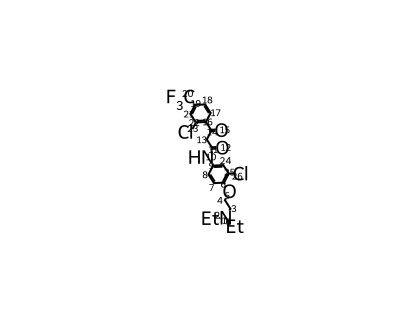 CCN(CC)CCOc1ccc(NC(=O)CC(=O)c2ccc(C(F)(F)F)cc2Cl)cc1Cl